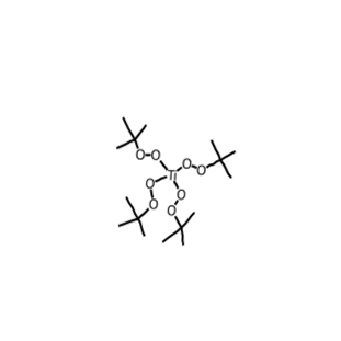 CC(C)(C)O[O][Ti]([O]OC(C)(C)C)([O]OC(C)(C)C)[O]OC(C)(C)C